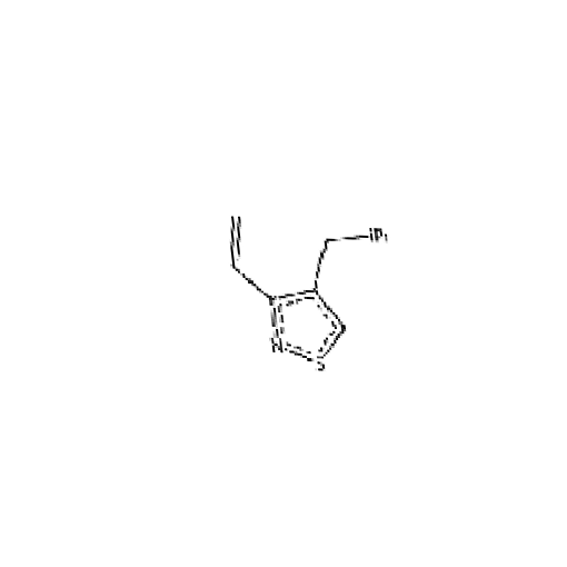 C=Cc1nscc1CC(C)C